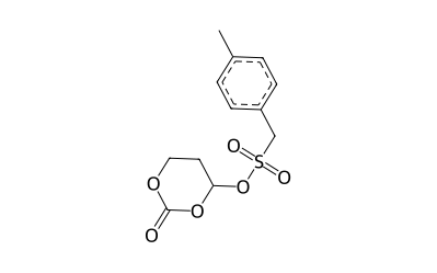 Cc1ccc(CS(=O)(=O)OC2CCOC(=O)O2)cc1